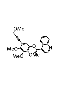 COCC#Cc1cc(OC(=O)c2ccnc3ccccc23)c(OC)c(OC)c1OC